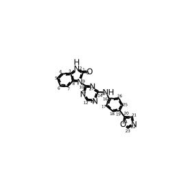 O=c1[nH]c2ccccc2n1-c1ncnc(Nc2ccc(-c3cnco3)cc2)n1